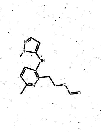 Cc1ccc(Nc2ccnn2C)c(CCOC=O)n1